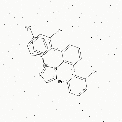 CC(C)c1cccc(C(C)C)c1-c1cccc(-c2c(C(C)C)cccc2C(C)C)c1-n1ccnc1-c1ccc(C(F)(F)F)cc1